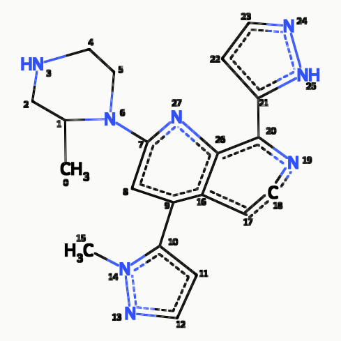 CC1CNCCN1c1cc(-c2ccnn2C)c2ccnc(-c3ccn[nH]3)c2n1